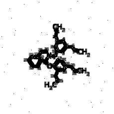 C=CCc1cc(CC=C)cc(P(c2cc(CC=C)cc(CC=C)c2)n2ccc3ccccc3c2=O)c1